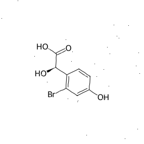 O=C(O)[C@H](O)c1ccc(O)cc1Br